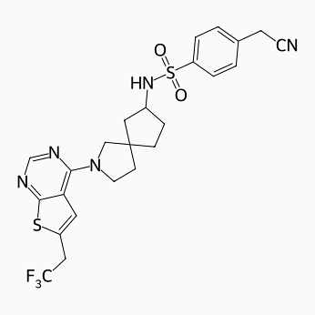 N#CCc1ccc(S(=O)(=O)NC2CCC3(CCN(c4ncnc5sc(CC(F)(F)F)cc45)C3)C2)cc1